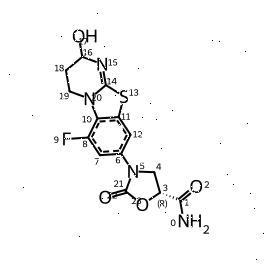 NC(=O)[C@H]1CN(c2cc(F)c3c(c2)SC2=NC(O)CCN23)C(=O)O1